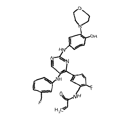 C=CC(=O)Nc1cc(-c2nc(Nc3ccc(O)c(N4CCOCC4)c3)ncc2Nc2cccc(F)c2)ccc1F